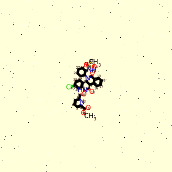 COC(=O)c1cccc(CONC(=O)[C@@H]2c3ccccc3C(=O)N([C@H]3CCCC[C@@H]3NS(C)(=O)=O)[C@H]2c2ccc(Cl)cc2)n1